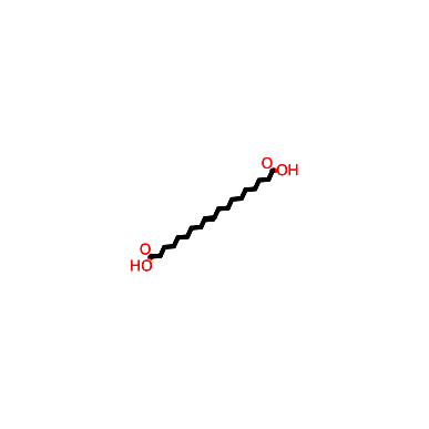 O=C(O)CCCCCCCC=CCCCCCCCCC(=O)O